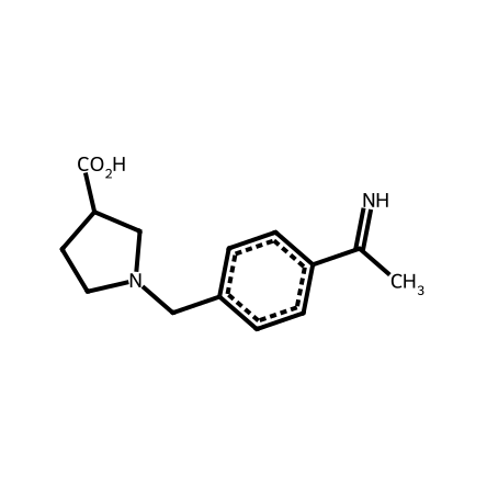 CC(=N)c1ccc(CN2CCC(C(=O)O)C2)cc1